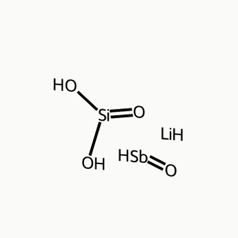 O=[Si](O)O.[LiH].[O]=[SbH]